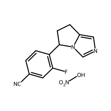 N#Cc1ccc(C2CCc3cncn32)c(F)c1.O=[N+]([O-])O